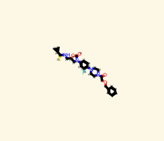 O=C(COCc1ccccc1)N1CCN(c2ccc(N3CC(CNC(=S)C4CC4)OC3=O)cc2F)CC1